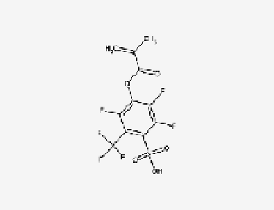 C=C(C)C(=O)Oc1c(F)c(F)c(S(=O)(=O)O)c(C(F)(F)F)c1F